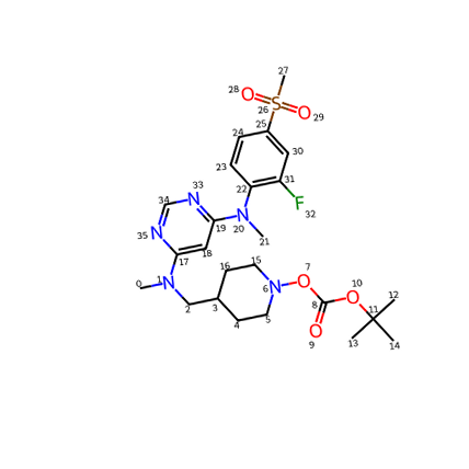 CN(CC1CCN(OC(=O)OC(C)(C)C)CC1)c1cc(N(C)c2ccc(S(C)(=O)=O)cc2F)ncn1